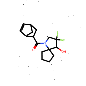 O=C(C1CC2C=CC1C2)N1CC(F)(F)C(O)C12CCCC2